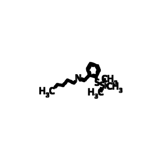 CCCCCN=Cc1ccccc1S[Si](C)(C)C